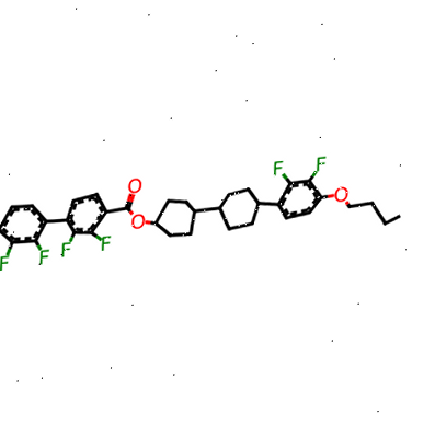 CCCCOc1ccc(C2CCC(C3CCC(OC(=O)c4ccc(-c5ccc(C)c(F)c5F)c(F)c4F)CC3)CC2)c(F)c1F